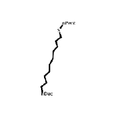 CCCCCCCCCCCCCCCCCCCCSCCCCC